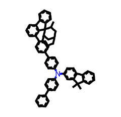 CC1CC2CC(C)C3(c4ccccc4-c4cccc(-c5ccc(-c6ccc(N(c7ccc(-c8ccccc8)cc7)c7ccc8c(c7)C(C)(C)c7ccccc7-8)cc6)cc5)c43)C(C1)C2